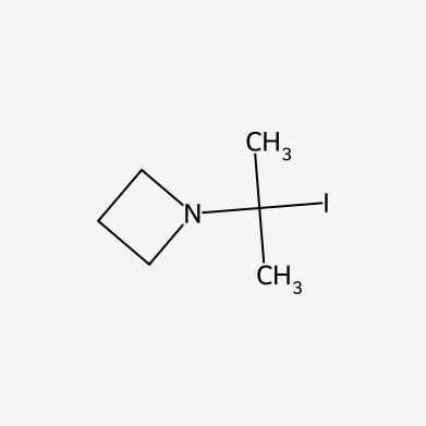 CC(C)(I)N1CCC1